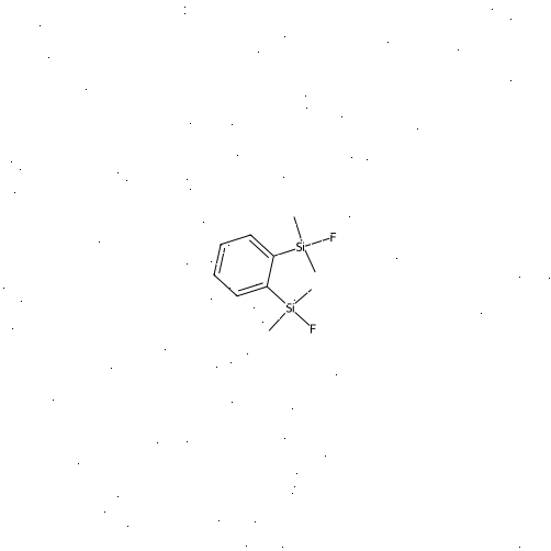 C[Si](C)(F)c1ccccc1[Si](C)(C)F